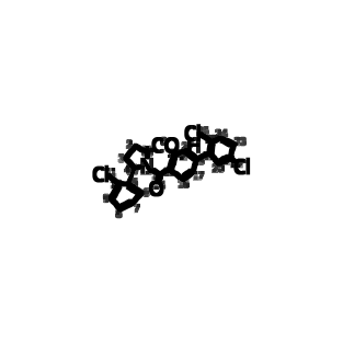 O=C(O)[C@@H]1CC[C@H](c2ccccc2Cl)N1C(=O)c1ccc(-c2cc(Cl)ccc2Cl)cc1